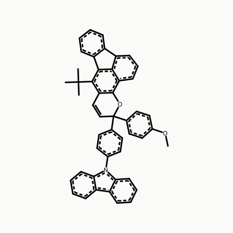 COc1ccc(C2(c3ccc(-n4c5ccccc5c5ccccc54)cc3)C=Cc3c(C(C)(C)C)c4c5c(cccc5c3O2)-c2ccccc2-4)cc1